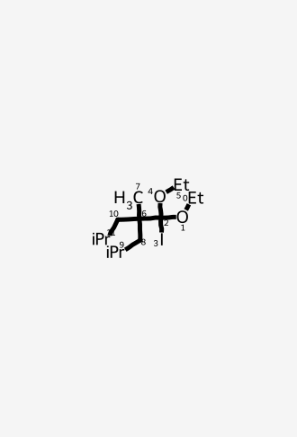 CCOC(I)(OCC)C(C)(CC(C)C)CC(C)C